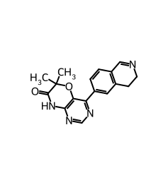 CC1(C)Oc2c(ncnc2-c2ccc3c(c2)CCN=C3)NC1=O